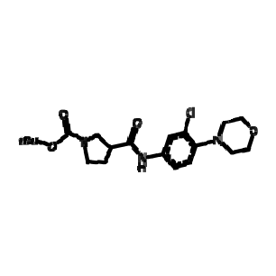 CC(C)(C)OC(=O)N1CCC(C(=O)Nc2ccc(N3CCOCC3)c(Cl)c2)C1